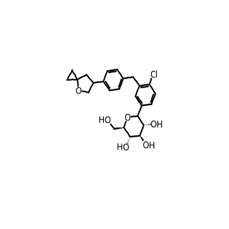 OC[C@H]1OC(c2ccc(Cl)c(Cc3ccc(C4COC5(CC5)C4)cc3)c2)[C@H](O)[C@@H](O)[C@@H]1O